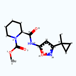 CC(C)(C)OC(=O)N1CCCC[C@H]1C(=O)Nc1cc(C2(C)CC2)no1